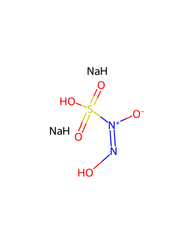 O=S(=O)(O)[N+]([O-])=NO.[NaH].[NaH]